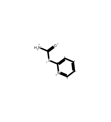 NC(=O)Sc1ccccn1